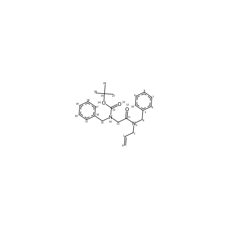 C=CCN(Cc1ccccc1)C(=O)CN(Cc1ccccc1)C(=O)OC(C)(C)C